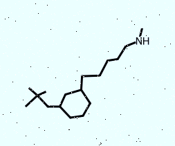 CNCCCCCC1CCCC(CC(C)(C)C)C1